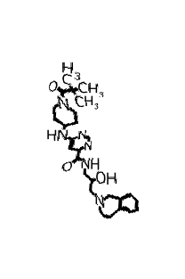 CC(C)(C)C(=O)N1CCC(Nc2cc(C(=O)NCC(O)CN3CCc4ccccc4C3)ncn2)CC1